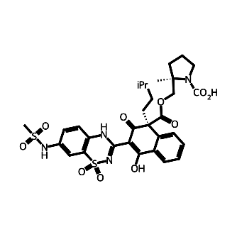 CC(C)CC[C@@]1(C(=O)OC[C@@]2(C)CCCN2C(=O)O)C(=O)C(C2=NS(=O)(=O)c3cc(NS(C)(=O)=O)ccc3N2)=C(O)c2ccccc21